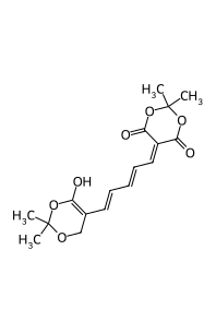 CC1(C)OC(=O)C(=C/C=C/C=C/C2=C(O)OC(C)(C)OC2)C(=O)O1